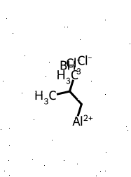 B.CC(C)[CH2][Al+2].[Cl-].[Cl-]